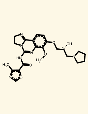 COc1c(OC[C@H](O)CN2CCCC2)ccc2c1N=C(NC(=O)c1scnc1C)N1CCN=C21